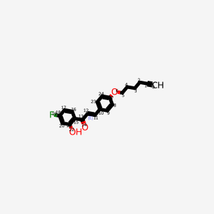 C#CCCCCOc1ccc(/C=C/C(=O)c2ccc(F)cc2O)cc1